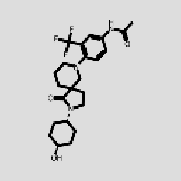 CC(=O)Nc1ccc(N2CCCC3(CCN([C@H]4CC[C@H](O)CC4)C3=O)C2)c(C(F)(F)F)c1